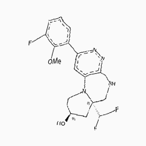 COc1c(F)cccc1-c1cc2c(nn1)NC[C@@]1(C(F)F)C[C@@H](O)CN21